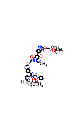 Cc1cccc(C(=O)/C(=C\CC(=O)NCCOc2cnc3ccc(-c4[nH]c(CN(C(=O)OC(C)(C)C)c5ccccc5F)nc4-c4cccc(C)n4)cc3n2)c2ccc3ncc(OCCNC(=O)OC(C)(C)C)nc3c2)n1